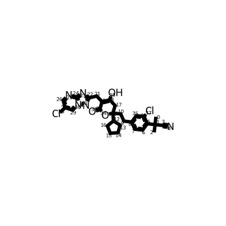 CC(C)(C#N)c1ccc(CCC2(C3CCCC3)CC(O)=C(Cc3nc4ncc(Cl)cn4n3)C(=O)O2)cc1Cl